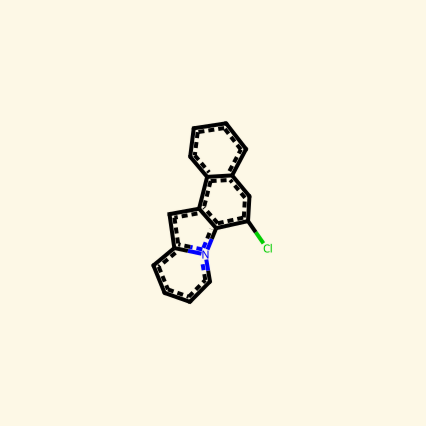 Clc1cc2ccccc2c2cc3ccccn3c12